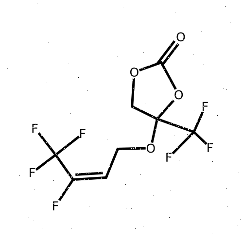 O=C1OCC(OC/C=C(/F)C(F)(F)F)(C(F)(F)F)O1